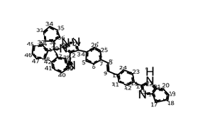 N#Cc1c(-c2ccc(C=Cc3ccc(-c4nc5ccccc5[nH]4)cc3)cc2)nnn1C(c1ccccc1)(c1ccccc1)c1ccccc1